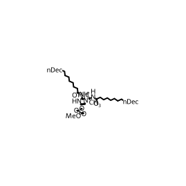 CCCCCCCCCCCCCCCCCC(=O)Nc1[nH]cc[n+]1C(C)(C)NC(=O)CCCCCCCCCCCCCCCCC.COS(=O)(=O)[O-]